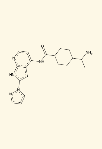 CC(N)C1CCC(C(=O)Nc2ccnc3[nH]c(-n4cccn4)cc23)CC1